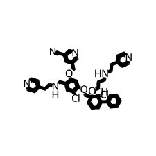 CC1(Cl)C(c2ccccc2)=CC=CC1(COc1cc(OCc2cncc(C#N)c2)c(CNCCc2ccncc2)cc1Cl)OCCCNCCc1ccncc1